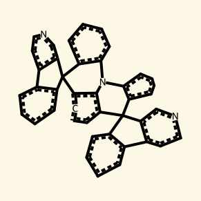 c1ccc2c(c1)-c1ccncc1C21c2ccccc2N2c3ccccc3C3(c4ccccc4-c4ccncc43)c3cccc1c32